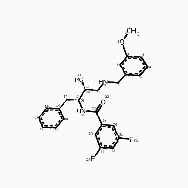 COc1cccc(CNC[C@H](O)[C@H](Cc2ccccc2)NC(=O)c2cc(F)cc(F)c2)c1